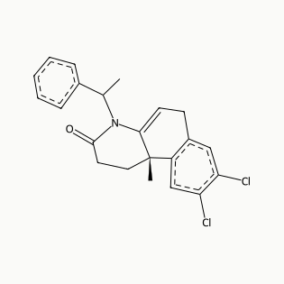 CC(c1ccccc1)N1C(=O)CC[C@]2(C)C1=CCc1cc(Cl)c(Cl)cc12